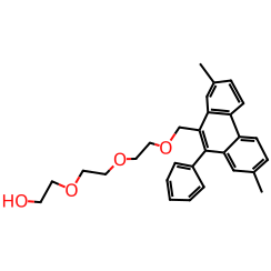 Cc1ccc2c(c1)c(COCCOCCOCCO)c(-c1ccccc1)c1cc(C)ccc12